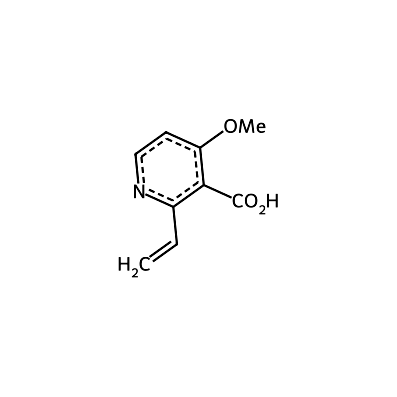 C=Cc1nccc(OC)c1C(=O)O